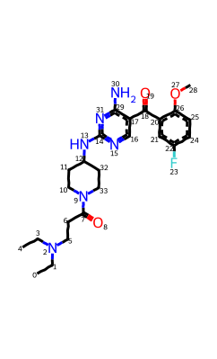 CCN(CC)CCC(=O)N1CCC(Nc2ncc(C(=O)c3cc(F)ccc3OC)c(N)n2)CC1